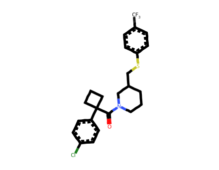 O=C(N1CCCC(CSc2ccc(C(F)(F)F)cc2)C1)C1(c2ccc(Cl)cc2)CCC1